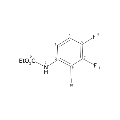 CCOC(=O)Nc1ccc(F)c(F)c1I